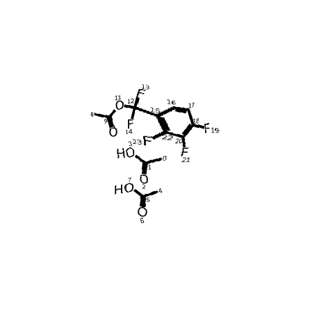 CC(=O)O.CC(=O)O.CC(=O)OC(F)(F)c1ccc(F)c(F)c1F